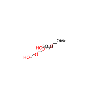 COCCOCCOCCOCCO.O=S(=O)(O)O